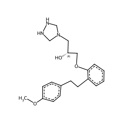 COc1ccc(CCc2ccccc2OC[C@H](O)CN2CNNC2)cc1